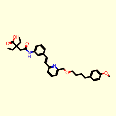 CCC(CC)(CC(=O)Nc1cccc(/C=C/c2cccc(COCCCCc3ccc(OC)cc3)n2)c1)C(=O)O